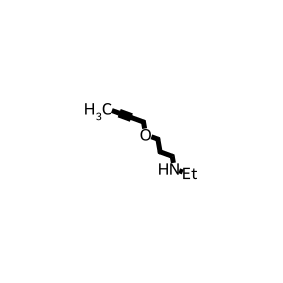 CC#CCOCCCNCC